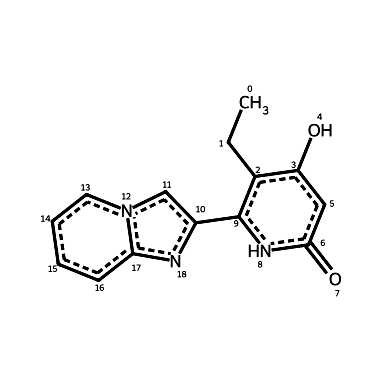 CCc1c(O)cc(=O)[nH]c1-c1cn2ccccc2n1